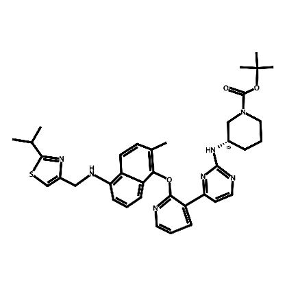 Cc1ccc2c(NCc3csc(C(C)C)n3)cccc2c1Oc1ncccc1-c1ccnc(N[C@H]2CCCN(C(=O)OC(C)(C)C)C2)n1